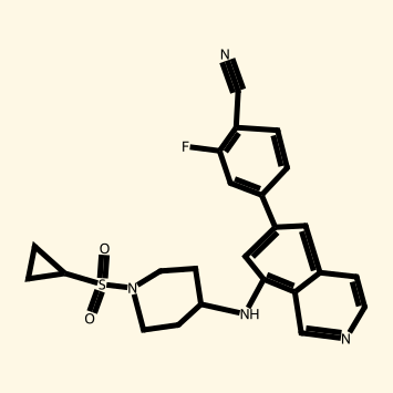 N#Cc1ccc(-c2cc(NC3CCN(S(=O)(=O)C4CC4)CC3)c3cnccc3c2)cc1F